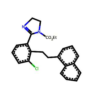 CCOC(=O)N1CCN=C1c1cccc(Cl)c1CCc1cccc2ccccc12